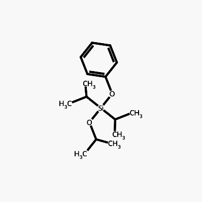 CC(C)O[Si](Oc1ccccc1)(C(C)C)C(C)C